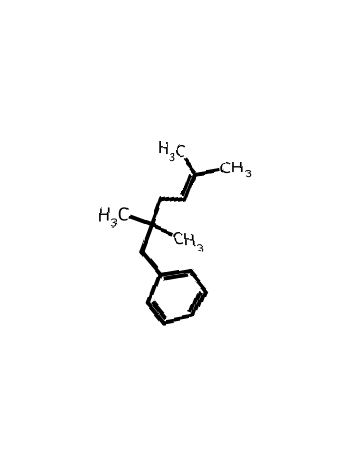 CC(C)=CCC(C)(C)Cc1ccccc1